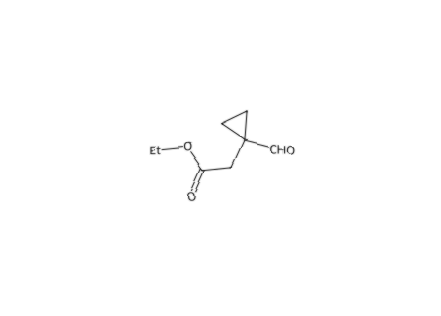 CCOC(=O)CC1(C=O)CC1